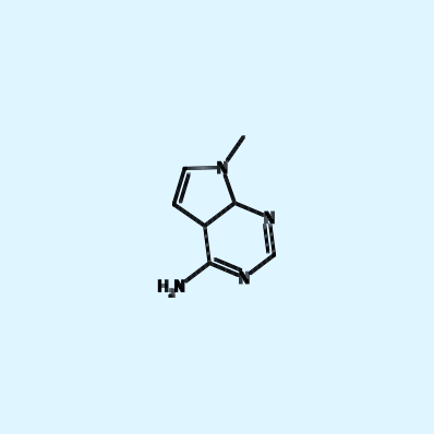 CN1C=CC2C(N)=NC=NC21